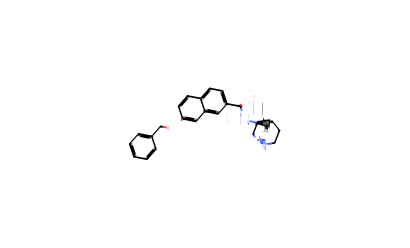 O=C(N[C@H]1CN2CCC1CC2)c1ccc2ccc(OCc3ccccc3)cc2c1